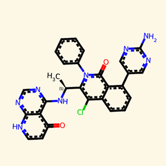 C[C@H](Nc1ncnc2[nH]ccc(=O)c12)c1c(Cl)c2cccc(-c3cnc(N)nc3)c2c(=O)n1-c1ccccc1